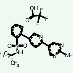 C[C@H](NS(=O)(=O)c1ccccc1-c1ccc(-c2cnc(N)nc2)nc1)C(F)(F)F.O=C(O)C(F)(F)F